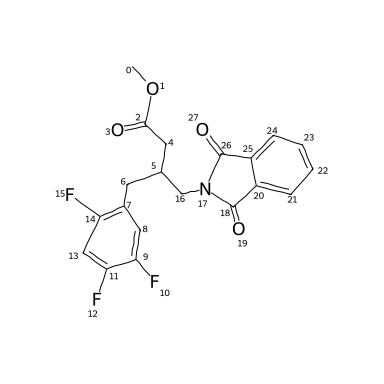 COC(=O)CC(Cc1cc(F)c(F)cc1F)CN1C(=O)c2ccccc2C1=O